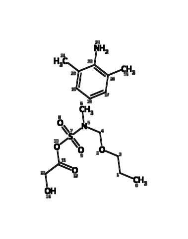 CCCOCN(C)S(=O)(=O)OC(=O)CO.Cc1cccc(C)c1N